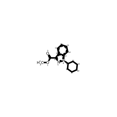 COC(=O)c1nn(C2CCCCC2)c2ccccc12